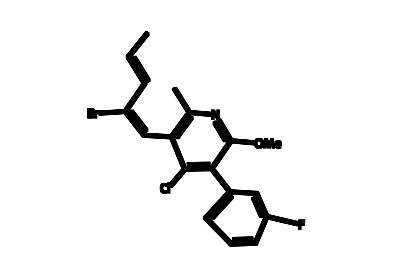 C/C=C/C(Br)=C\c1c(C)nc(OC)c(-c2cccc(F)c2)c1Cl